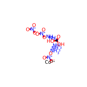 N.N.N.N.N.O=C(O)O.O=[N+]([O-])[O-].O=[N+]([O-])[O-].O=[N+]([O-])[O-].[Co+3]